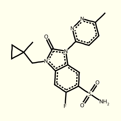 Cc1ccc(-n2c(=O)n(CC3(C)CC3)c3cc(F)c(S(N)(=O)=O)cc32)nn1